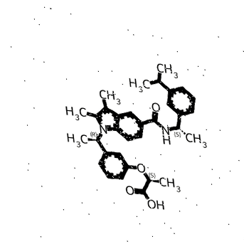 Cc1c(C)n([C@H](C)c2cccc(O[C@@H](C)C(=O)O)c2)c2ccc(C(=O)N[C@@H](C)c3cccc(C(C)C)c3)cc12